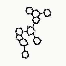 c1ccc(-c2ccc3c(c2)oc2cccc(-c4nc(-c5ccccc5)nc(-c5ccc6c(-c7ccccc7)cc7ccccc7c6c5)n4)c23)cc1